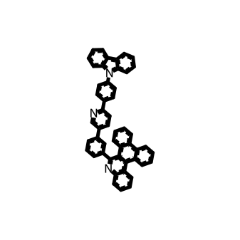 c1cc(-c2ccc(-c3ccc(-n4c5ccccc5c5ccccc54)cc3)nc2)cc(-c2nc3ccccc3c3c4ccccc4c4ccccc4c23)c1